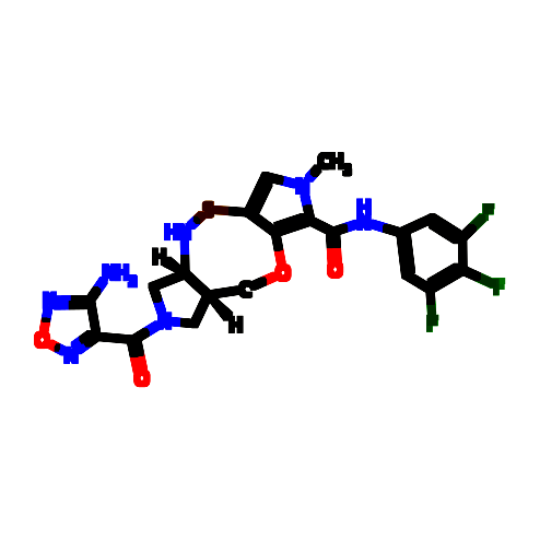 Cn1cc2c(c1C(=O)Nc1cc(F)c(F)c(F)c1)OC[C@@H]1CN(C(=O)c3nonc3N)C[C@@H]1NS2